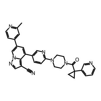 Cc1cc(-c2cc(-c3ccc(N4CCN(C(=O)C5(c6cccnc6)CC5)CC4)nc3)c3c(C#N)cnn3c2)ccn1